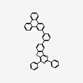 c1ccc(-c2nc(-c3ccccc3)c3oc4ccc(-c5cccc(-c6ccc7c8ccccc8c8ccccc8c7c6)c5)cc4c3n2)cc1